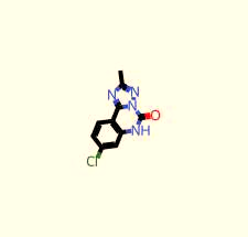 Cc1nc2c3ccc(Cl)cc3[nH]c(=O)n2n1